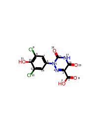 O=C(O)c1nn(-c2cc(Cl)c(O)c(Cl)c2)c(=O)[nH]c1=O